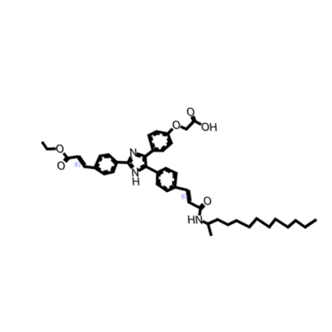 CCCCCCCCCCCC(C)NC(=O)/C=C/c1ccc(-c2[nH]c(-c3ccc(/C=C/C(=O)OCC)cc3)nc2-c2ccc(OCC(=O)O)cc2)cc1